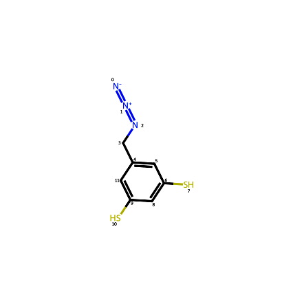 [N-]=[N+]=NCc1cc(S)cc(S)c1